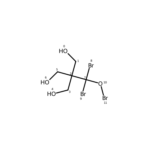 OCC(CO)(CO)C(Br)(Br)OBr